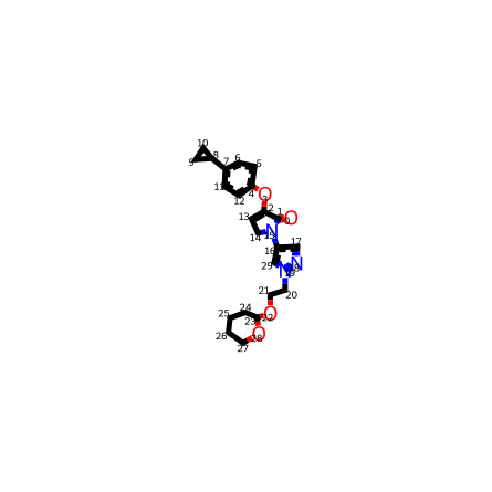 O=C1C(Oc2ccc(C3CC3)cc2)=CCN1c1cnn(CCOC2CCCCO2)c1